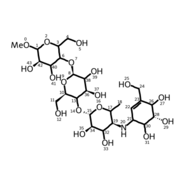 COC1OC(CO)C(O[C@@H]2O[C@H](CO)C(O[C@@H]3OC(C)[C@@H](NC4C=C(CO)C(O)[C@H](O)C4O)C(O)[C@H]3O)[C@H](O)C2O)C(O)[C@H]1O